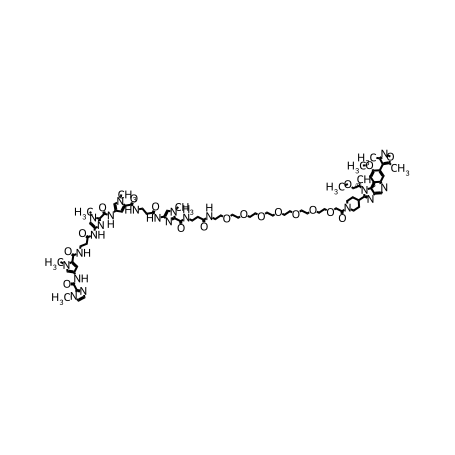 COC[C@@H](C)n1c(C2CCN(C(=O)COCCOCCOCCOCCOCCOCCOCCNC(=O)CCNC(=O)c3nc(NC(=O)CCNC(=O)c4cc(NC(=O)c5nc(NC(=O)CCNC(=O)c6cc(NC(=O)c7nccn7C)cn6C)cn5C)cn4C)cn3C)CC2)nc2cnc3cc(-c4c(C)noc4C)c(OC)cc3c21